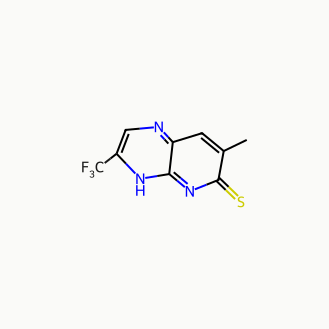 Cc1cc2ncc(C(F)(F)F)[nH]c-2nc1=S